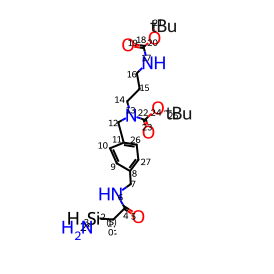 C[C@H]([SiH2]N)C(=O)NCc1ccc(CN(CCCNC(=O)OC(C)(C)C)C(=O)OC(C)(C)C)cc1